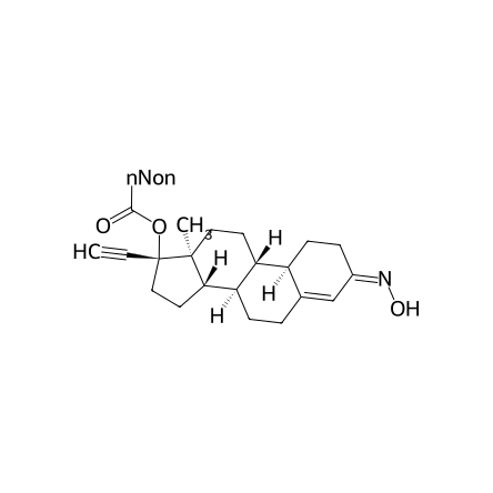 C#C[C@]1(OC(=O)CCCCCCCCC)CC[C@H]2[C@@H]3CCC4=CC(=NO)CC[C@@H]4[C@H]3CC[C@@]21C